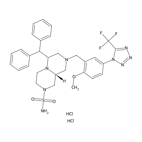 COc1ccc(-n2nnnc2C(F)(F)F)cc1CN1CC(C(c2ccccc2)c2ccccc2)N2CCN(S(N)(=O)=O)C[C@H]2C1.Cl.Cl